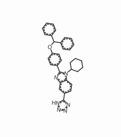 c1ccc(C(Oc2ccc(-c3nc4cc(-c5nnn[nH]5)ccc4n3C3CCCCC3)cc2)c2ccccc2)cc1